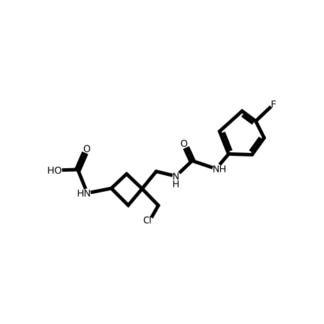 O=C(O)NC1CC(CCl)(CNC(=O)Nc2ccc(F)cc2)C1